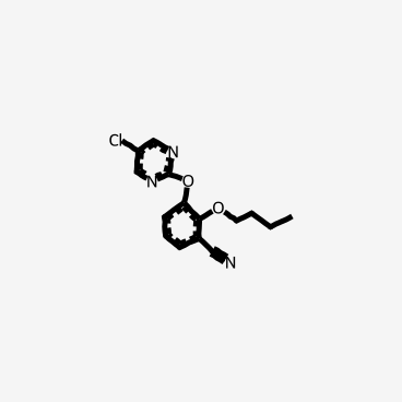 CCCCOc1c(C#N)cccc1Oc1ncc(Cl)cn1